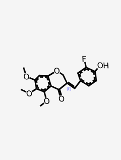 COc1cc2c(c(OC)c1OC)C(=O)/C(=C/c1ccc(O)c(F)c1)CO2